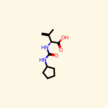 C=C(C)[C@H](NC(=O)NC1CCCC1)C(=O)O